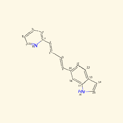 C(C=Cc1ccccn1)=Cc1ccc2cc[nH]c2c1